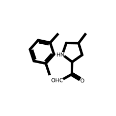 CC1CNC(C(=O)C=O)C1.Cc1cccc(C)c1